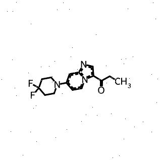 CCC(=O)c1cnc2cc(N3CCC(F)(F)CC3)ccn12